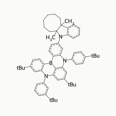 CC(C)(C)c1ccc(N2c3cc(N4c5ccccc5C5(C)CCCCCCC45C)ccc3B3c4ccc(C(C)(C)C)cc4N(c4cccc(C(C)(C)C)c4)c4cc(C(C)(C)C)cc2c43)cc1